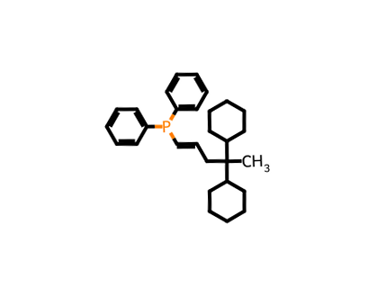 CC(CC=CP(c1ccccc1)c1ccccc1)(C1CCCCC1)C1CCCCC1